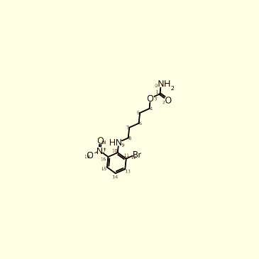 NC(=O)OCCCCCNc1c(Br)cccc1[N+](=O)[O-]